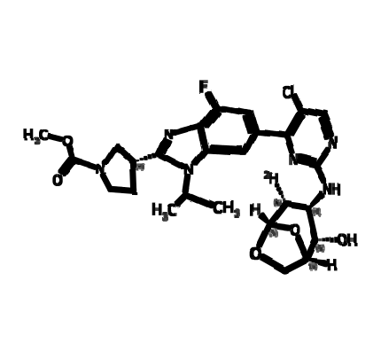 [2H][C@H]1[C@H]2OC[C@H](O2)[C@@H](O)[C@@H]1Nc1ncc(Cl)c(-c2cc(F)c3nc([C@@H]4CCN(C(=O)OC)C4)n(C(C)C)c3c2)n1